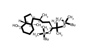 C[C@@H](CC[C@H](O[Si](C)(C)C(C)(C)C)C(C)(C)O[Si](C)(C)C(C)(C)C)[C@H]1CC[C@H]2[C@@H](O)CCC[C@]12C